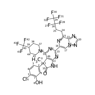 C[C@@]1(c2ccc(Cl)c(O)c2)C(=O)Nc2nc(-c3cn4ncnc4c(CCC(F)(F)C(F)(F)F)n3)nc(N3CCC(C(F)(F)F)CC3)c21